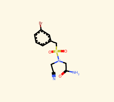 N#CCN(CC(N)=O)S(=O)(=O)Cc1cccc(Br)c1